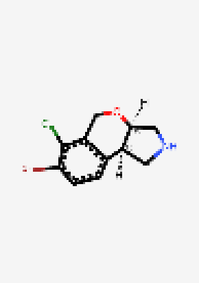 Clc1c(Br)ccc2c1CO[C@H]1CNC[C@@H]21